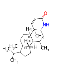 CC(C)C1CC[C@H]2[C@@H]3C(C)CC4NC(=O)C=C[C@]4(C)[C@@H]3CC[C@]12C